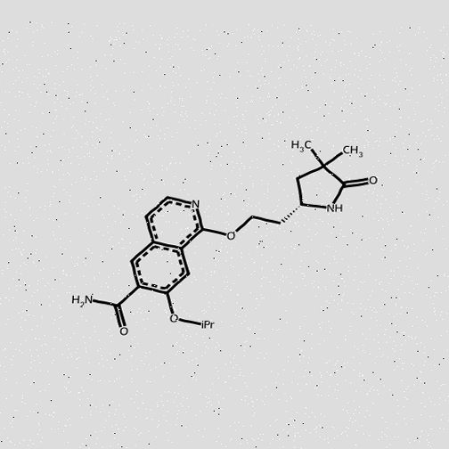 CC(C)Oc1cc2c(OCC[C@@H]3CC(C)(C)C(=O)N3)nccc2cc1C(N)=O